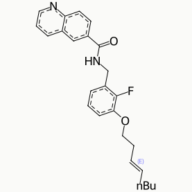 CCCC/C=C/CCOc1cccc(CNC(=O)c2ccc3ncccc3c2)c1F